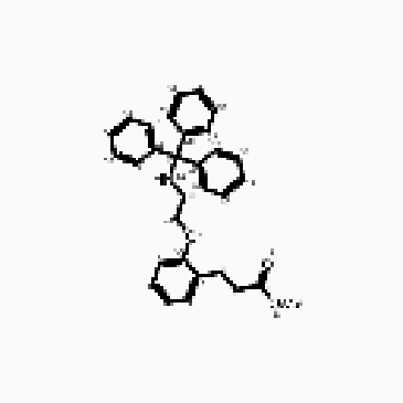 COC(=O)CCc1ccccc1OCCNC(c1ccccc1)(c1ccccc1)c1ccccc1